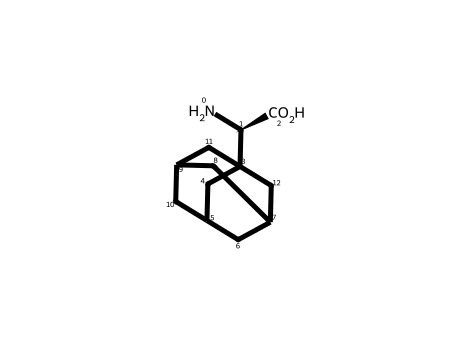 N[C@@H](C(=O)O)C12CC3CC(CC(C3)C1)C2